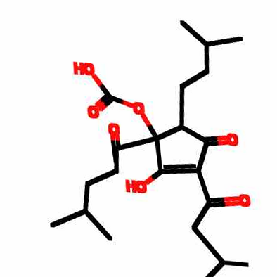 CC(C)CCC(=O)C1(OC(=O)O)C(O)=C(C(=O)CC(C)C)C(=O)C1CCC(C)C